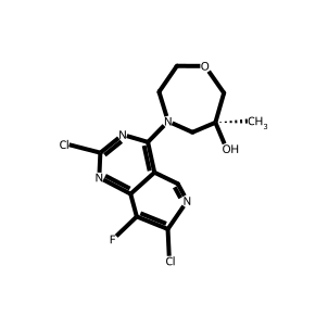 C[C@@]1(O)COCCN(c2nc(Cl)nc3c(F)c(Cl)ncc23)C1